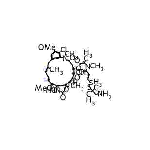 COc1cc2cc(c1Cl)N(C)C(=O)C[C@H](OC(=O)[C@H](C)N(C)C(=O)CCSSC(C)(C)CN)[C@@]1(C)O[C@H]1[C@H](C)[C@@H]1C[C@@](O)(NC(=O)O1)[C@H](OC)/C=C/C=C(\C)C2